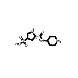 O=C(NC1CCNCC1)[C@@H]1CC(S(=O)(=O)O)CN1